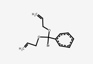 C=CCOC(Br)(OCC=C)c1ccccc1